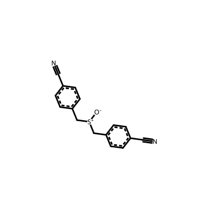 N#Cc1ccc(C[S+]([O-])Cc2ccc(C#N)cc2)cc1